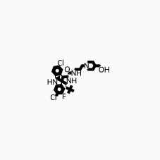 CC(C)(C)C[C@H]1N[C@@H](C(=O)NCCCN2CCC(CO)CC2)[C@H](c2cccc(Cl)c2)[C@@]12C(=O)Nc1cc(Cl)c(F)cc12